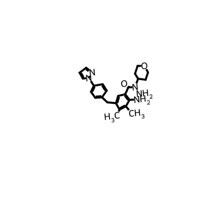 Cc1c(Cc2ccc(-n3cccn3)cc2)cc(C(=O)N(N)C2CCOCC2)c(N)c1C